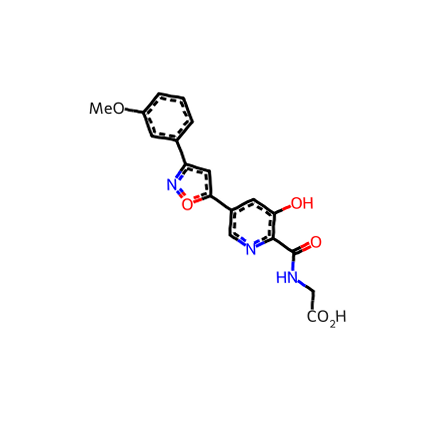 COc1cccc(-c2cc(-c3cnc(C(=O)NCC(=O)O)c(O)c3)on2)c1